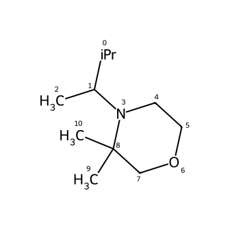 CC(C)C(C)N1CCOCC1(C)C